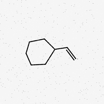 [CH]=CC1CCCCC1